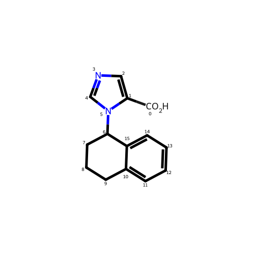 O=C(O)c1cncn1C1CCCc2ccccc21